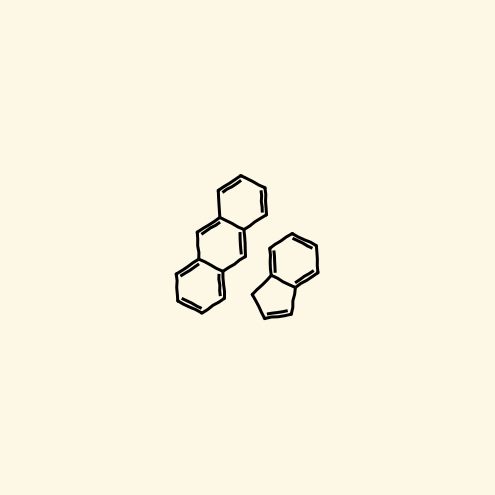 C1=Cc2ccccc2C1.c1ccc2cc3ccccc3cc2c1